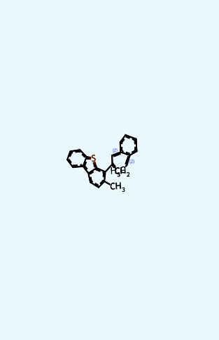 C=C(/C=c1/cccc/c1=C/C)c1c(C)ccc2c1sc1ccccc12